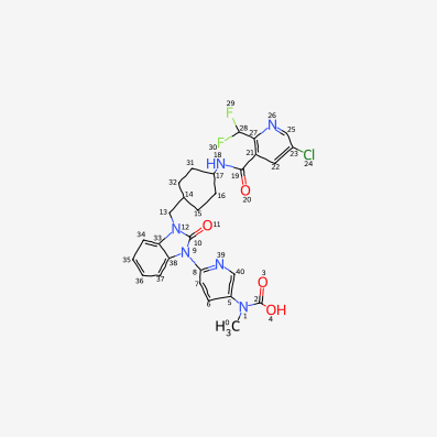 CN(C(=O)O)c1ccc(-n2c(=O)n(CC3CCC(NC(=O)c4cc(Cl)cnc4C(F)F)CC3)c3ccccc32)nc1